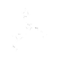 Cc1cc(SCc2cc(C#CCN3CCOCC3)cc(OCc3ccc(F)cc3)c2)ccc1OCC(=O)O